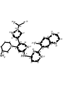 N[C@H]1CCCN(c2cc(Nc3ccnc(-c4cc5nccnc5cc4F)n3)ncc2-c2cnn(C(F)F)c2)C1